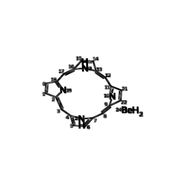 C1=Cc2cc3ccc(cc4nc(cc5ccc(cc1n2)[nH]5)C=C4)[nH]3.[BeH2]